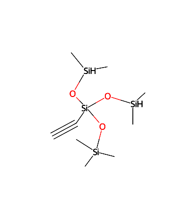 C#C[Si](O[SiH](C)C)(O[SiH](C)C)O[Si](C)(C)C